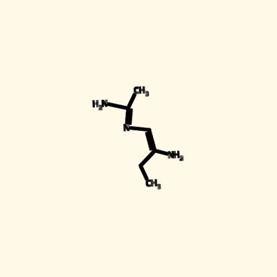 CC/C(N)=C\N=C(/C)N